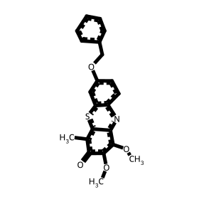 COc1c2nc3ccc(OCc4ccccc4)cc3sc-2c(C)c(=O)c1OC